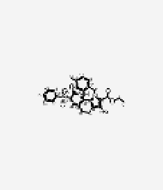 CCOC(=O)c1c(Br)c2c(n1Cc1ccc(C)cc1)-c1[nH]c(=O)c(S(=O)(=O)c3ccccc3)cc1CC2